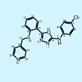 Clc1ccc(Nc2nnc(-c3ccccc3SCc3ccncc3)o2)cc1